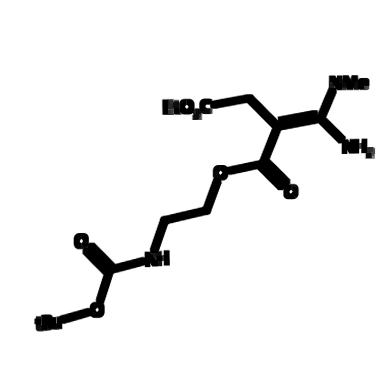 CCOC(=O)C/C(C(=O)OCCNC(=O)OC(C)(C)C)=C(/N)NC